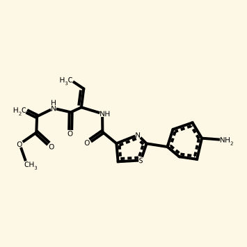 C=C(NC(=O)/C(=C\C)NC(=O)c1csc(-c2ccc(N)cc2)n1)C(=O)OC